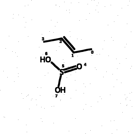 CC=CC.O=S(O)O